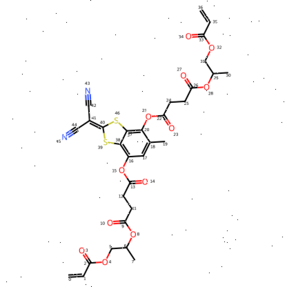 C=CC(=O)OCC(C)OC(=O)CCC(=O)Oc1cc(C)c(OC(=O)CCC(=O)OC(C)COC(=O)C=C)c2c1SC(=C(C#N)C#N)S2